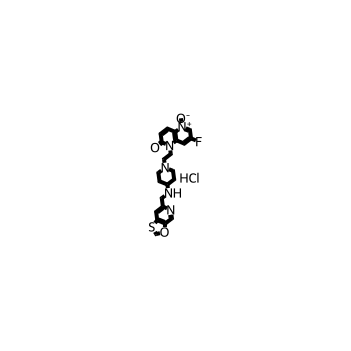 Cl.O=c1ccc2c(cc(F)c[n+]2[O-])n1CCN1CCC(NCc2cc3c(cn2)OCS3)CC1